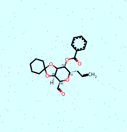 C=CC[C@@H]1O[C@@H](C=O)[C@H]2OC3(CCCCC3)OC2[C@H]1OC(=O)c1ccccc1